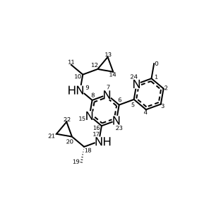 Cc1cccc(-c2nc(NC(C)C3CC3)nc(N[C@H](C)C3CC3)n2)n1